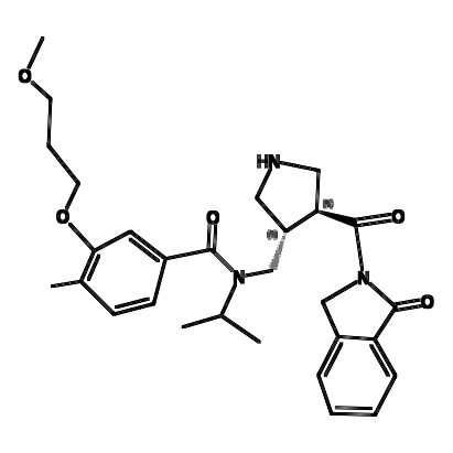 COCCCOc1cc(C(=O)N(C[C@@H]2CNC[C@H]2C(=O)N2Cc3ccccc3C2=O)C(C)C)ccc1C